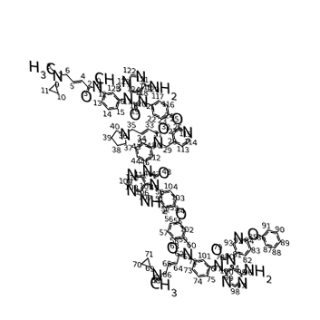 CN(C(=O)/C=C/CN(C)C1CC1)c1cccc(-n2c(=O)n(-c3ccc(Oc4cc(CN(C(=O)/C=C/CN5CCCC5)c5cccc(-n6c(=O)n(-c7ccc(Oc8cccc(CN(C(=O)/C=C/CN(C)C9CC9)c9cccc(-n%10c(=O)n(-c%11ccc(Oc%12ccccc%12)nc%11)c%11c(N)ncnc%11%10)c9)c8)cc7)c7c(N)ncnc76)c5)ccn4)cc3)c3c(N)ncnc32)c1